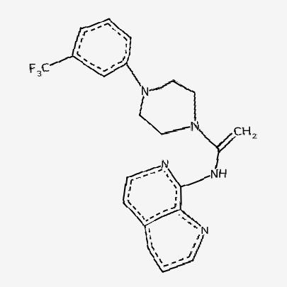 C=C(Nc1nccc2cccnc12)N1CCN(c2cccc(C(F)(F)F)c2)CC1